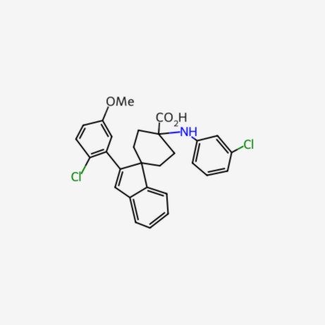 COc1ccc(Cl)c(C2=Cc3ccccc3C23CCC(Nc2cccc(Cl)c2)(C(=O)O)CC3)c1